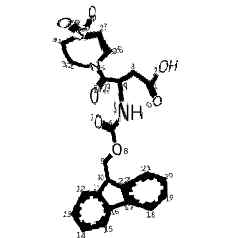 O=C(O)CC(NC(=O)OCC1c2ccccc2-c2ccccc21)C(=O)N1CCS(=O)(=O)CC1